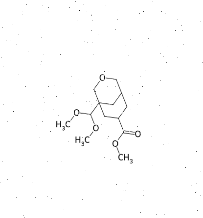 COC(=O)C1CC2COCC(C(OC)OC)(C2)C1